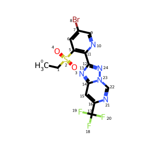 CCS(=O)(=O)c1cc(Br)cnc1-c1nc2cc(C(F)(F)F)ncn2n1